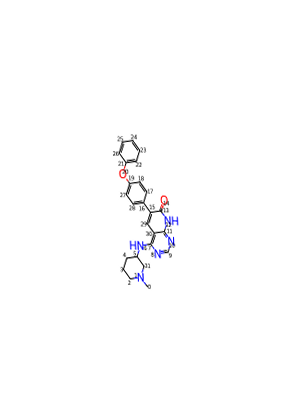 CN1CCCC(Nc2ncnc3[nH]c(=O)c(-c4ccc(Oc5ccccc5)cc4)cc23)C1